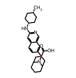 C[C@H]1CC[C@@H](Nc2cc3ccc(CN4C5CCCC4CC(C(=O)O)C5)cc3cn2)CC1